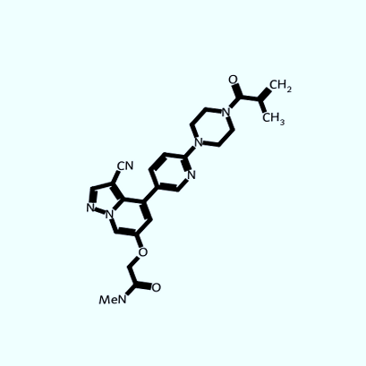 C=C(C)C(=O)N1CCN(c2ccc(-c3cc(OCC(=O)NC)cn4ncc(C#N)c34)cn2)CC1